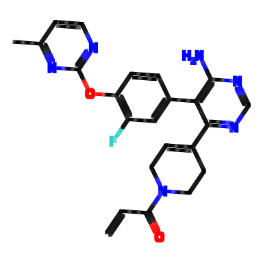 C=CC(=O)N1CC=C(c2ncnc(N)c2-c2ccc(Oc3nccc(C)n3)c(F)c2)CC1